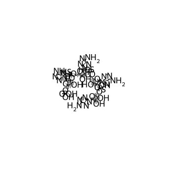 Nc1ncnc2c1ncn2[C@@H]1O[C@H](COP(O)(=S)O[C@@H]2[C@H](O)[C@@H](COP(O)(=S)O[C@@H]3[C@H](O)[C@@H](COP(=O)(S)O[C@@H]4[C@H](O)[C@@H](COP(=O)(O)O)O[C@H]4n4cnc5c(N)ncnc54)O[C@H]3n3cnc4c(N)ncnc43)O[C@H]2n2cnc3c(N)ncnc32)[C@@H](O)[C@H]1O